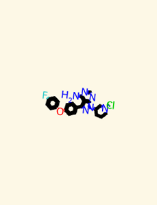 Nc1ncnc2c1c(-c1ccc(Oc3ccc(F)cc3)cc1)nn2C1CCCN(Cl)C1